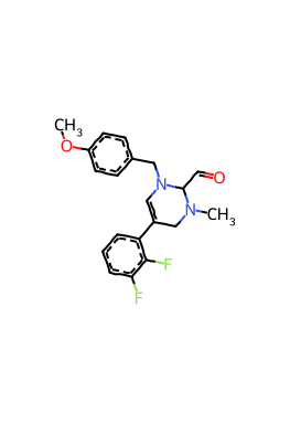 COc1ccc(CN2C=C(c3cccc(F)c3F)CN(C)C2C=O)cc1